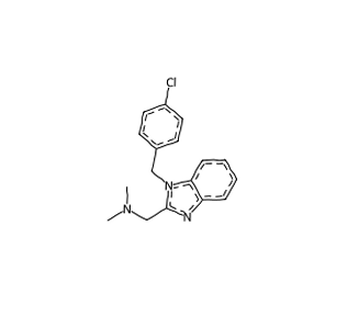 CN(C)Cc1nc2ccccc2n1Cc1ccc(Cl)cc1